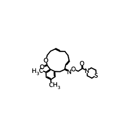 Cc1cc(C)c2c(c1)CC(=N/OCC(=O)N1CCSCC1)/C=C/CC/C=C/CCOC2=O